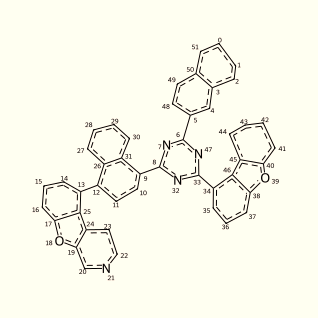 c1ccc2cc(-c3nc(-c4ccc(-c5cccc6oc7cnccc7c56)c5ccccc45)nc(-c4cccc5oc6ccccc6c45)n3)ccc2c1